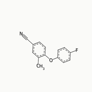 Cc1cc(C#N)ccc1Oc1ccc(F)cc1